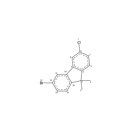 CC1(C)c2ccc(Cl)cc2-c2cc(Br)ccc21